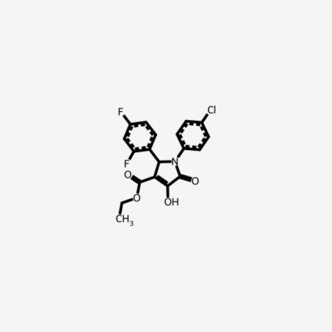 CCOC(=O)C1=C(O)C(=O)N(c2ccc(Cl)cc2)C1c1ccc(F)cc1F